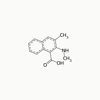 CNc1c(C)cc2ccccc2c1C(=O)O